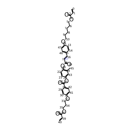 C=CC(=O)OCCCCCCOc1ccc(/C=C/C(=O)Oc2ccc(OC(=O)c3ccc(OCCCOC(=O)C=C)cc3)cc2C)cc1